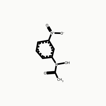 CC(=O)N(O)c1cccc([N+](=O)[O-])c1